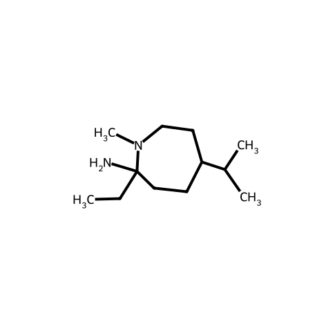 CCC1(N)CCC(C(C)C)CCN1C